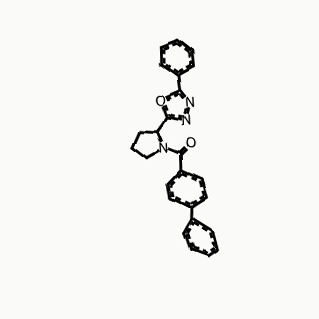 O=C(c1ccc(-c2ccccc2)cc1)N1CCCC1c1nnc(-c2ccccc2)o1